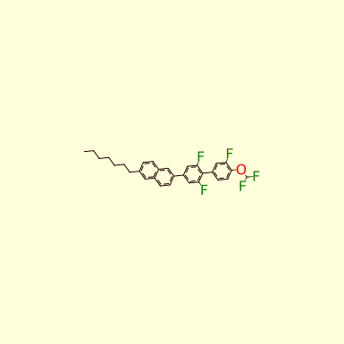 CCCCCCCc1ccc2cc(-c3cc(F)c(-c4ccc(OC(F)F)c(F)c4)c(F)c3)ccc2c1